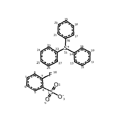 O=S(=O)([O-])c1ccccc1F.c1ccc([S+](c2ccccc2)c2ccccc2)cc1